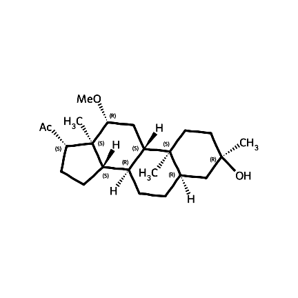 CO[C@@H]1C[C@H]2[C@@H](CC[C@@H]3C[C@](C)(O)CC[C@@]32C)[C@@H]2CC[C@H](C(C)=O)[C@@]12C